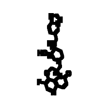 O=c1ccc2ncc(F)c3c2n1[C@H](CN1CC[C@H](NCc2ccc4ncnn4c2)[C@H](O)C1)CO3